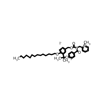 CCCCCCCCCCCCCCOc1ccc(COC(=O)N(Cc2cccc[n+]2C)C(=O)c2ccccc2)cc1C(C)(C)C.[I-]